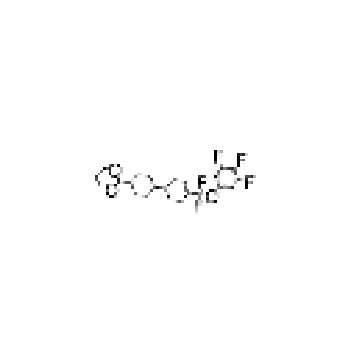 Fc1cc(OC(F)(F)C2=CCC(C3CCC(C4OCCCO4)CC3)CC2)cc(F)c1F